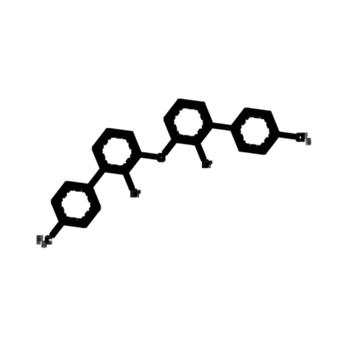 FC(F)(F)c1ccc(-c2cccc(Oc3cccc(-c4ccc(C(F)(F)F)cc4)c3Br)c2Br)cc1